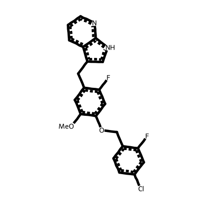 COc1cc(Cc2c[nH]c3ncccc23)c(F)cc1OCc1ccc(Cl)cc1F